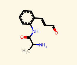 CC(N)C(=O)Nc1ccccc1/C=C/[C]=O